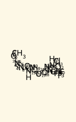 COCCN1CCN(CC(=O)Nc2cc(Oc3ccc4c(c3)nc(Nc3cc(C(F)(F)F)ccc3Cl)n4C)ccn2)CC1